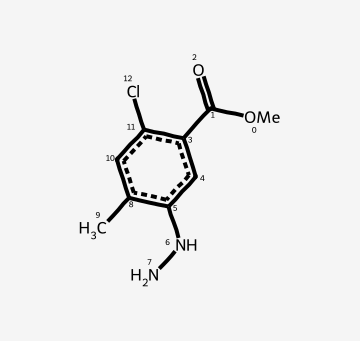 COC(=O)c1cc(NN)c(C)cc1Cl